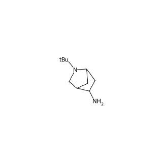 CC(C)(C)N1CC2CC1CC2N